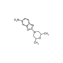 CC1CN(c2nc3ccc([N+](=O)[O-])cc3o2)CC(C)O1